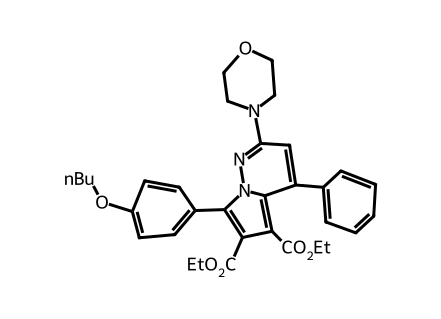 CCCCOc1ccc(-c2c(C(=O)OCC)c(C(=O)OCC)c3c(-c4ccccc4)cc(N4CCOCC4)nn23)cc1